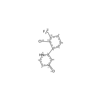 O=c1cc[nH]c(-c2cccc(C(F)(F)F)c2Cl)c1